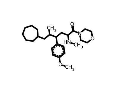 CNC(CC(c1ccc(OC)cc1)C(C)CC1CCCCCC1)C(=O)N1CCOCC1